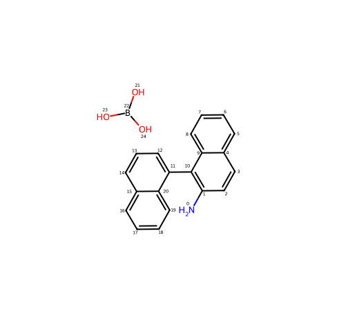 Nc1ccc2ccccc2c1-c1cccc2ccccc12.OB(O)O